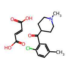 Cc1ccc(Cl)c(C(=O)C2CCN(C)CC2)c1.O=C(O)/C=C/C(=O)O